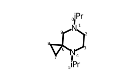 CC(C)N1CCN(C(C)C)C2(CC2)C1